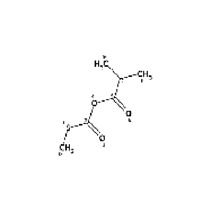 CSC(=O)OC(=O)C(C)C